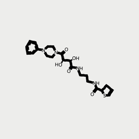 O=C(NCCCNC(=O)[C@H](O)[C@@H](O)C(=O)N1CCN(c2ccccc2)CC1)C1CC=CS1